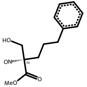 COC(=O)[C@@](CO)(CCCc1ccccc1)N=O